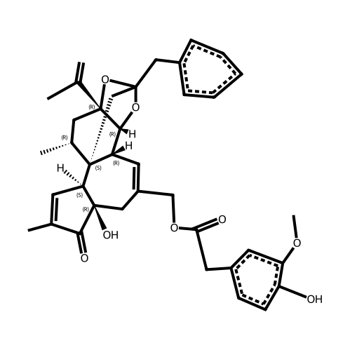 C=C(C)[C@]12C[C@@H](C)[C@@]34CC(Cc5ccccc5)(O[C@@H]1[C@@H]3C=C(COC(=O)Cc1ccc(O)c(OC)c1)C[C@]1(O)C(=O)C(C)=C[C@@H]41)O2